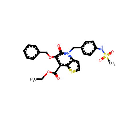 CCOC(=O)c1c(OCc2ccccc2)c(=O)n(Cc2ccc(NS(C)(=O)=O)cc2)c2ccsc12